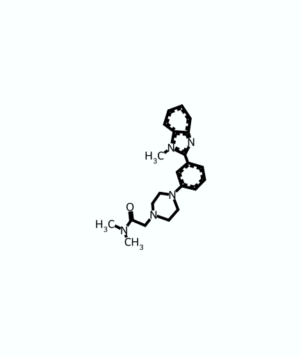 CN(C)C(=O)CN1CCN(c2cccc(-c3nc4ccccc4n3C)c2)CC1